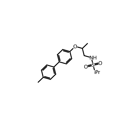 Cc1ccc(-c2ccc(OC(C)CNS(=O)(=O)C(C)C)cc2)cc1